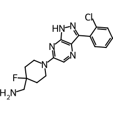 NCC1(F)CCN(c2cnc3c(-c4ccccc4Cl)n[nH]c3n2)CC1